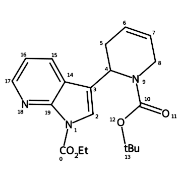 CCOC(=O)n1cc(C2CC=CCN2C(=O)OC(C)(C)C)c2cccnc21